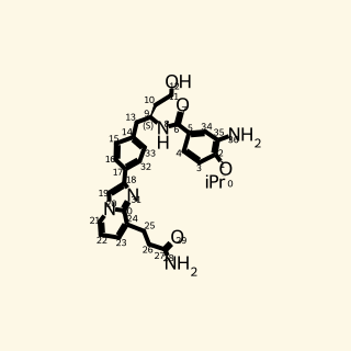 CC(C)Oc1ccc(C(=O)N[C@H](CCO)Cc2ccc(-c3cn4cccc(CCC(N)=O)c4n3)cc2)cc1N